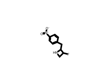 O=[N+]([O-])c1ccc(CC2NCC2F)cc1